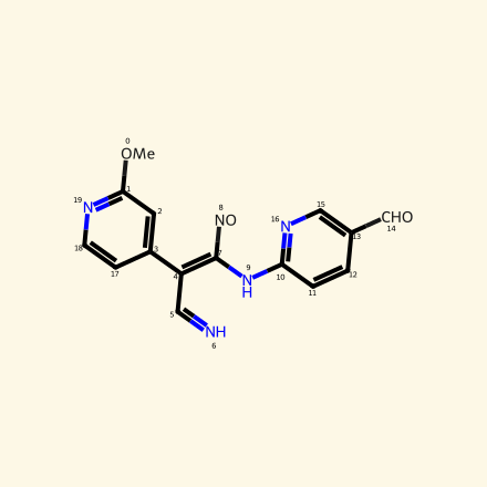 COc1cc(/C(C=N)=C(\N=O)Nc2ccc(C=O)cn2)ccn1